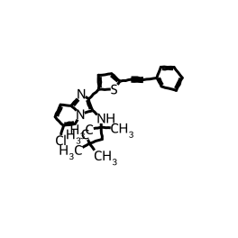 CC(C)(C)CC(C)(C)Nc1c(-c2ccc(C#Cc3ccccc3)s2)nc2ccc(Cl)cn12